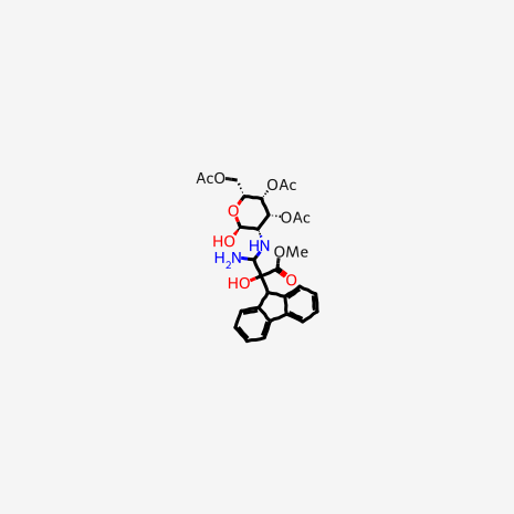 COC(=O)C(O)(C(N)N[C@H]1[C@@H](OC(C)=O)[C@@H](OC(C)=O)[C@@H](COC(C)=O)O[C@@H]1O)C1c2ccccc2-c2ccccc21